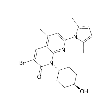 Cc1cc(-n2c(C)ccc2C)nc2c1cc(Br)c(=O)n2[C@H]1CC[C@H](O)CC1